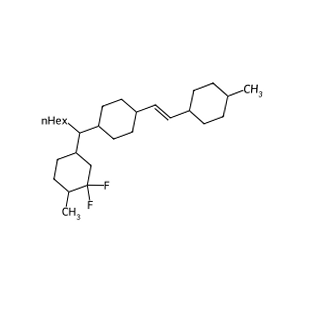 CCCCCCC(C1CCC(C=CC2CCC(C)CC2)CC1)C1CCC(C)C(F)(F)C1